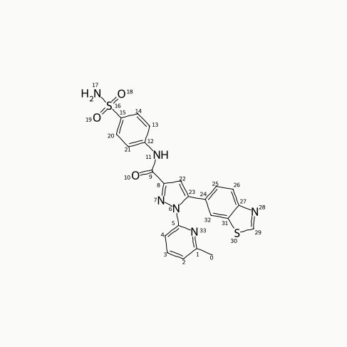 Cc1cccc(-n2nc(C(=O)Nc3ccc(S(N)(=O)=O)cc3)cc2-c2ccc3ncsc3c2)n1